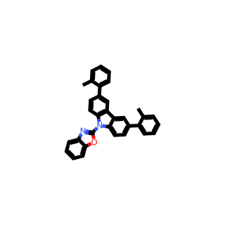 Cc1ccccc1-c1ccc2c(c1)c1cc(-c3ccccc3C)ccc1n2-c1nc2ccccc2o1